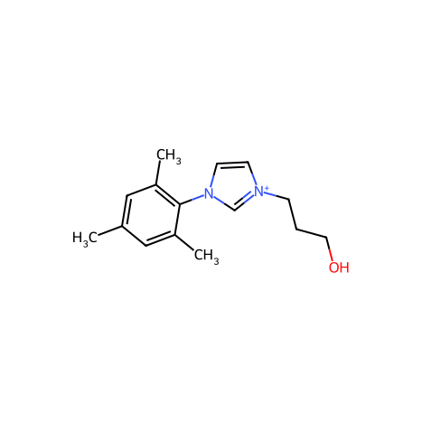 Cc1cc(C)c(-n2cc[n+](CCCO)c2)c(C)c1